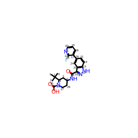 CC(C)(C)C1CC(NC(=O)c2n[nH]c3ccc(-c4cccnc4F)cc23)CCN1C(=O)O